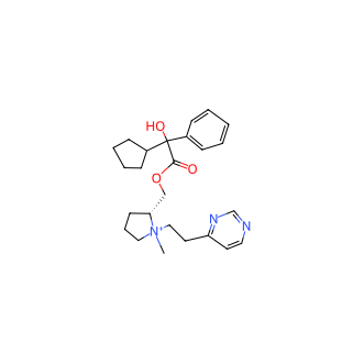 C[N+]1(CCc2ccncn2)CCC[C@@H]1COC(=O)C(O)(c1ccccc1)C1CCCC1